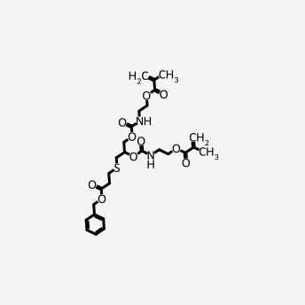 C=C(C)C(=O)OCCNC(=O)OCC(CSCCC(=O)OCc1ccccc1)OC(=O)NCCOC(=O)C(=C)C